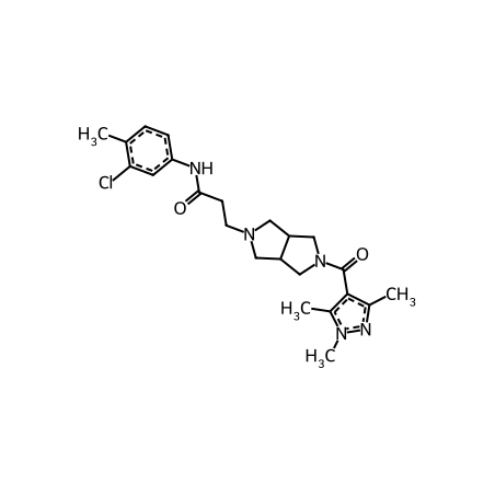 Cc1ccc(NC(=O)CCN2CC3CN(C(=O)c4c(C)nn(C)c4C)CC3C2)cc1Cl